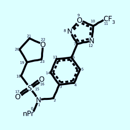 CCCN(Cc1ccc(-c2noc(C(F)(F)F)n2)cc1)S(=O)(=O)CC1CCOC1